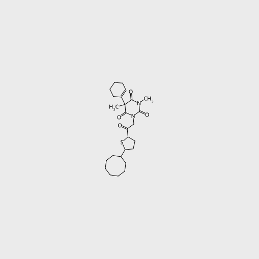 CN1C(=O)N(CC(=O)C2CCC(C3CCCCCCC3)S2)C(=O)C(C)(C2=CCCCC2)C1=O